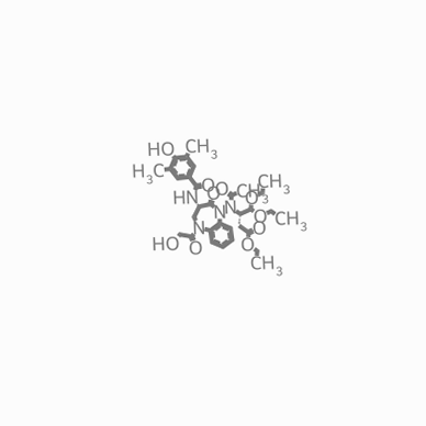 CCOC(=O)C[C@@H](C(OCC)OCC)N(C(C)=O)N1C(=O)[C@@H](NC(=O)c2cc(C)c(O)c(C)c2)CN(C(=O)CO)c2ccccc21